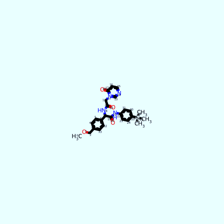 COCc1ccc(C(NC(=O)Cn2cnccc2=O)C(=O)Nc2ccc([Si](C)(C)C)cc2)cc1